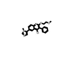 COCCOc1nc2ccc(-c3cncn3C)cc2c(Cl)c1-c1ccccc1